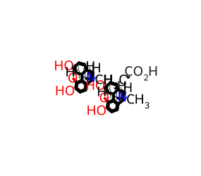 C=CC(=O)O.CN1CC[C@]23c4c5ccc(O)c4O[C@H]2[C@@H](O)C=C[C@H]3[C@H]1C5.CN1CC[C@]23c4c5ccc(O)c4O[C@H]2[C@@H](O)C=C[C@H]3[C@H]1C5